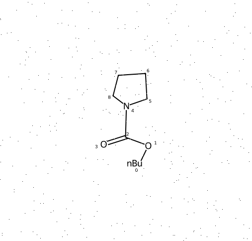 [CH2]CCCOC(=O)N1CCCC1